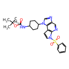 CC(C)(C)OC(=O)NC1CCC(n2cnc3cnc4c(ccn4S(=O)(=O)c4ccccc4)c32)CC1